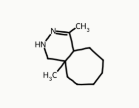 CC1=NNCC2(C)CCCCCCC12